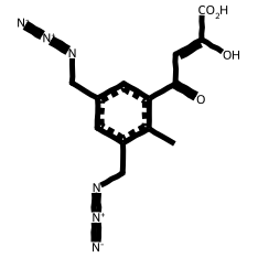 Cc1c(CN=[N+]=[N-])cc(CN=[N+]=[N-])cc1C(=O)/C=C(\O)C(=O)O